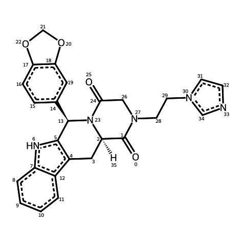 O=C1[C@H]2Cc3c([nH]c4ccccc34)[C@@H](c3ccc4c(c3)OCO4)N2C(=O)CN1CCn1ccnc1